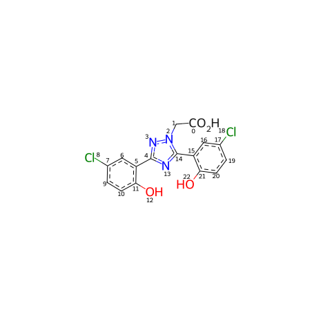 O=C(O)Cn1nc(-c2cc(Cl)ccc2O)nc1-c1cc(Cl)ccc1O